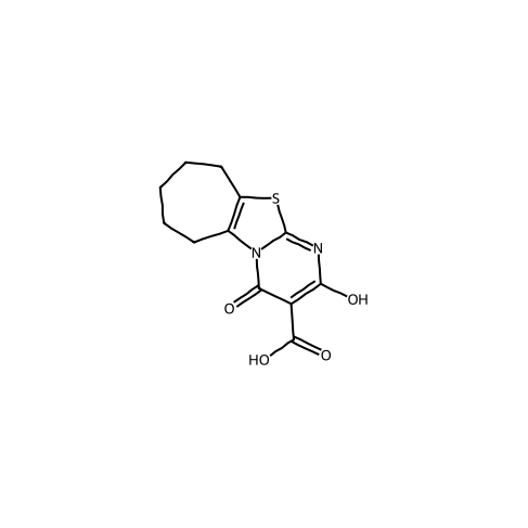 O=C(O)c1c(O)nc2sc3c(n2c1=O)CCCCC3